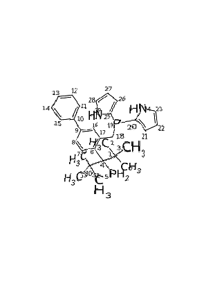 CC(C)(C)C(P)(c1ccc(-c2ccccc2)cc1CP(c1ccc[nH]1)c1ccc[nH]1)C(C)(C)C